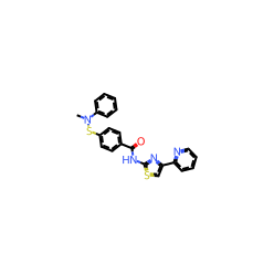 CN(Sc1ccc(C(=O)Nc2nc(-c3ccccn3)cs2)cc1)c1ccccc1